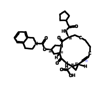 O=C(N[C@H]1CCCCC/C=C/[C@@H]2C[C@@]2(C(=O)O)NC(=O)[C@@H]2C[C@@H](OC(=O)N3CCc4ccccc4C3)CN2C1=O)C1CCCC1